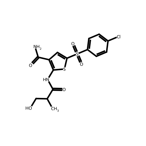 CC(CO)C(=O)Nc1sc(S(=O)(=O)c2ccc(Cl)cc2)cc1C(N)=O